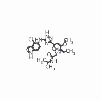 C=C(/C=C(OC)\C(=C/C)OCC(=O)NC(C)C)c1n[nH]c(Nc2ccc3[nH]ncc3c2Cl)n1